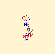 N#CC1(C(=O)N2CCC(n3cc(Cc4ccc5c6c(cccc46)C(=O)N5[C@H]4CCC(=O)NC4=O)cn3)CC2)CC1